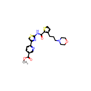 COC(=O)c1ccc(-c2csc(NC(=O)c3sccc3CCCN3CCOCC3)n2)nc1